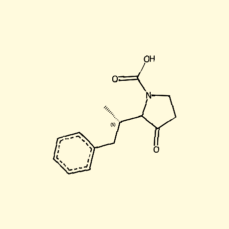 C[C@@H](Cc1ccccc1)C1C(=O)CCN1C(=O)O